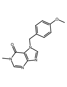 COc1ccc(Cn2cnc3ncn(C)c(=O)c32)cc1